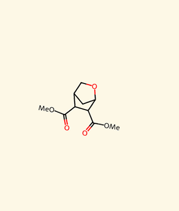 COC(=O)C1C2COC(C2)C1C(=O)OC